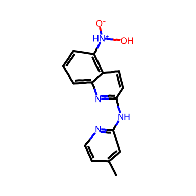 Cc1ccnc(Nc2ccc3c([NH+]([O-])O)cccc3n2)c1